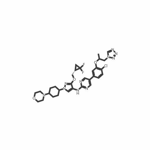 CC(Cn1cnnn1)Oc1cc(-c2cnc(Nc3cn(C4CCC(N5CCOCC5)CC4)nc3OC[C@@H]3CC3(F)F)nc2)ccc1Cl